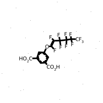 O=C(O)c1cc(OC(F)=C(F)C(F)(F)C(F)(F)C(F)(F)C(F)(F)F)cc(C(=O)O)c1